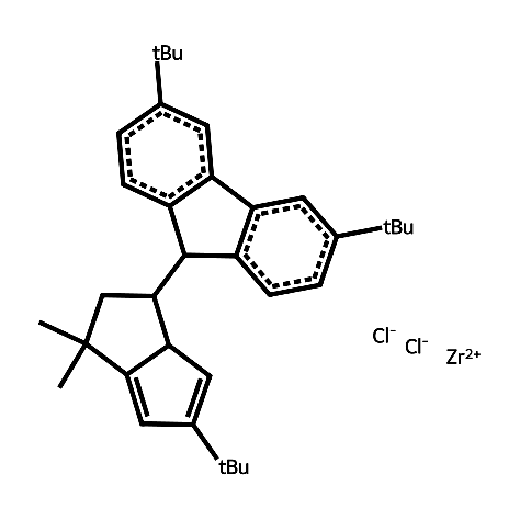 CC(C)(C)C1=CC2C(=C1)C(C)(C)CC2C1c2ccc(C(C)(C)C)cc2-c2cc(C(C)(C)C)ccc21.[Cl-].[Cl-].[Zr+2]